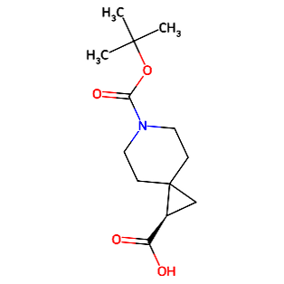 CC(C)(C)OC(=O)N1CCC2(CC1)C[C@H]2C(=O)O